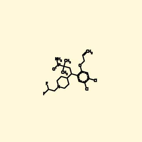 C=CCOc1cc(Cl)c(Cl)cc1C(CC(C)(C)[S+](N)[O-])C1CCN(CC(F)F)CC1